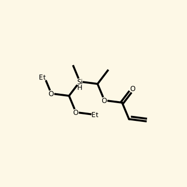 C=CC(=O)OC(C)[SiH](C)C(OCC)OCC